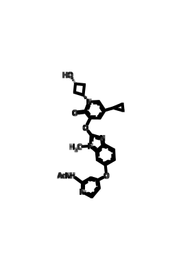 CC(=O)Nc1cc(Oc2ccc3nc(Oc4cc(C5CC5)cn([C@H]5C[C@@H](O)C5)c4=O)n(C)c3c2)ccn1